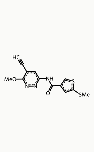 C#Cc1cc(NC(=O)c2csc(SC)c2)nnc1OC